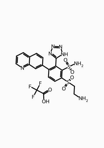 NCCS(=O)(=O)c1ccc(-c2ccc3cccnc3c2)c(-c2nnn[nH]2)c1S(N)(=O)=O.O=C(O)C(F)(F)F